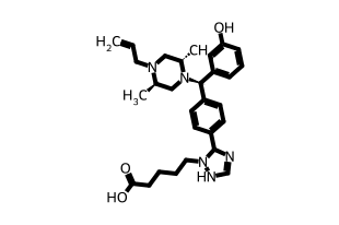 C=CCN1C[C@H](C)N([C@H](c2ccc(C3N=CNN3CCCCC(=O)O)cc2)c2cccc(O)c2)C[C@H]1C